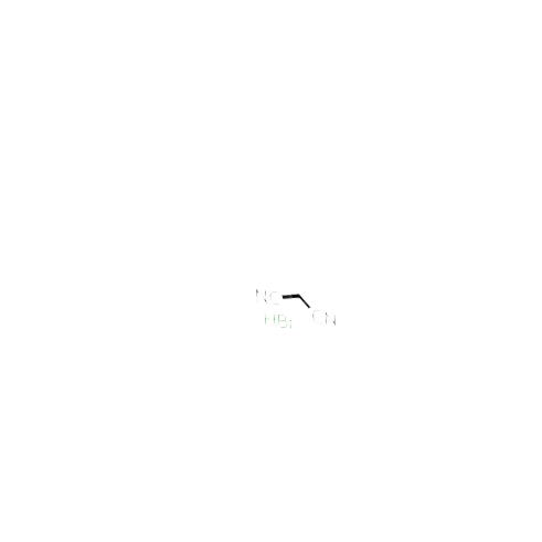 Br.N#CCC#N